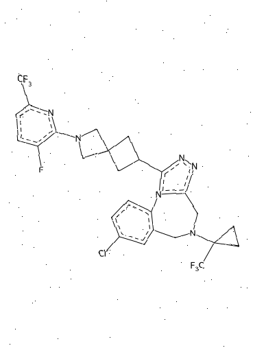 Fc1ccc(C(F)(F)F)nc1N1CC2(CC(c3nnc4n3-c3ccc(Cl)cc3CN(C3(C(F)(F)F)CC3)C4)C2)C1